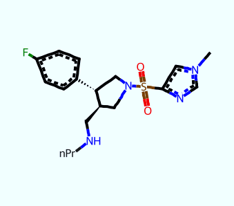 CCCNC[C@@H]1CN(S(=O)(=O)c2cn(C)cn2)C[C@H]1c1ccc(F)cc1